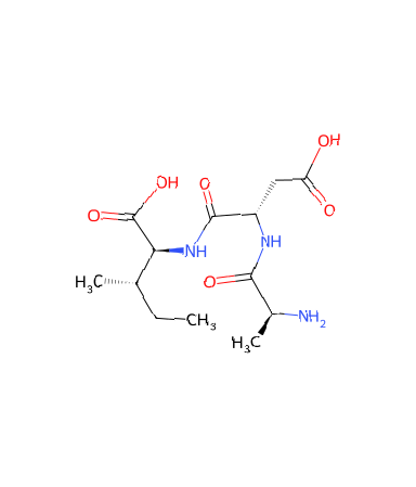 CC[C@H](C)[C@H](NC(=O)[C@H](CC(=O)O)NC(=O)[C@H](C)N)C(=O)O